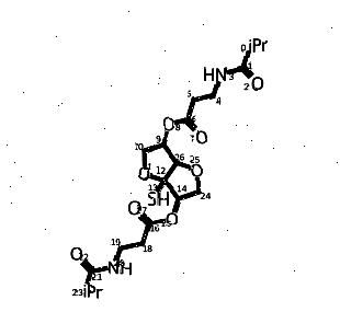 CC(C)C(=O)NCCC(=O)OC1COC2(S)C(OC(=O)CCNC(=O)C(C)C)COC12